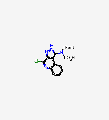 CCCCCN(C(=O)O)c1[nH]nc2c(Cl)nc3ccccc3c12